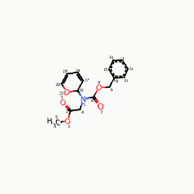 COC(=O)CN(C(=O)OCc1ccccc1)C1C=CC=CO1